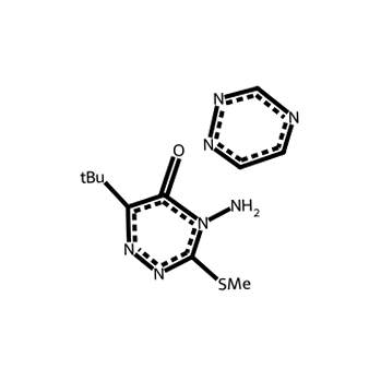 CSc1nnc(C(C)(C)C)c(=O)n1N.c1cnncn1